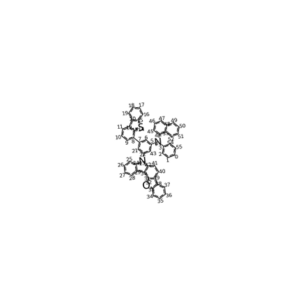 c1ccc(N(c2cc(-c3cccc4c3sc3ccccc34)cc(-n3c4ccccc4c4c5oc6ccccc6c5ccc43)c2)c2cccc3ccccc23)cc1